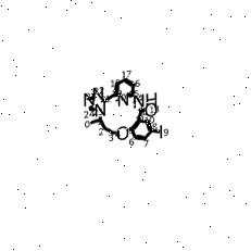 CC1CCOc2ccc(I)cc2C(=O)Nc2cccc(n2)-c2nncn21